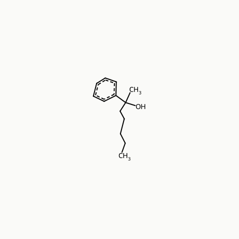 CCCCCC(C)(O)c1ccccc1